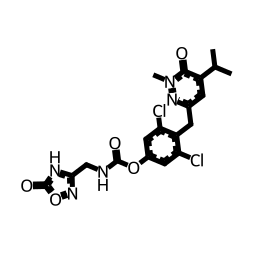 CC(C)c1cc(Cc2c(Cl)cc(OC(=O)NCc3noc(=O)[nH]3)cc2Cl)nn(C)c1=O